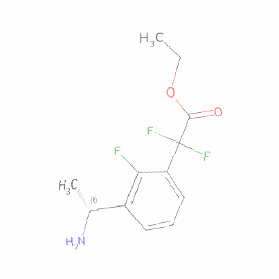 CCOC(=O)C(F)(F)c1cccc([C@@H](C)N)c1F